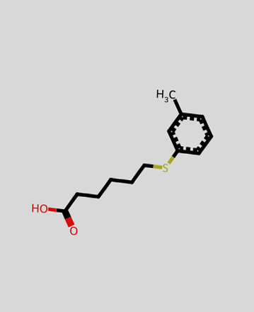 Cc1cccc(SCCCCCC(=O)O)c1